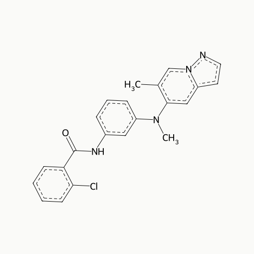 Cc1cn2nccc2cc1N(C)c1cccc(NC(=O)c2ccccc2Cl)c1